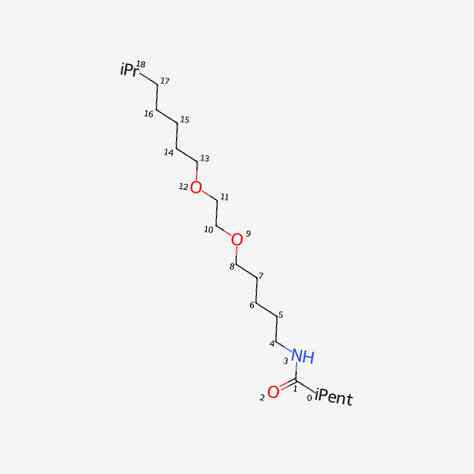 CCCC(C)C(=O)NCCCCCOCCOCCCCCC(C)C